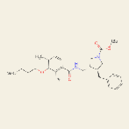 COCCCOc1c(C)ccc(C(=O)NC[C@@H]2CN(C(=O)OC(C)(C)C)C[C@H]2Cc2ccccc2)c1C(C)C